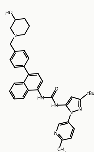 Cc1ccc(-n2nc(C(C)(C)C)cc2NC(=O)Nc2ccc(-c3ccc(CN4CCCC(O)C4)cc3)c3ccccc23)cn1